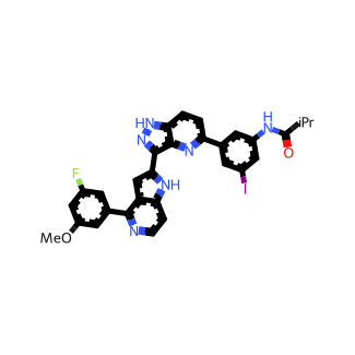 COc1cc(F)cc(-c2nccc3[nH]c(-c4n[nH]c5ccc(-c6cc(I)cc(NC(=O)C(C)C)c6)nc45)cc23)c1